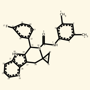 Cc1cc(C)cc(NC(=O)N2C(c3cccc(F)c3)c3[nH]c4cccnc4c3CC23CC3)c1